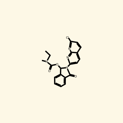 CCN(C)C(=O)OC1c2ccccc2C(=O)N1c1ccc2ccc(Cl)nc2n1